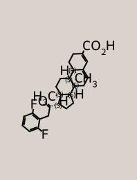 C[C@]12CC[C@H]3[C@@H](CC=C4C=C(C(=O)O)CC[C@@]43C)[C@@H]1CC[C@@H]2C(=O)Cc1c(F)cccc1F